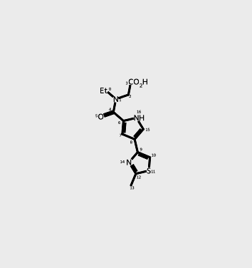 CCN(CC(=O)O)C(=O)c1cc(-c2csc(C)n2)c[nH]1